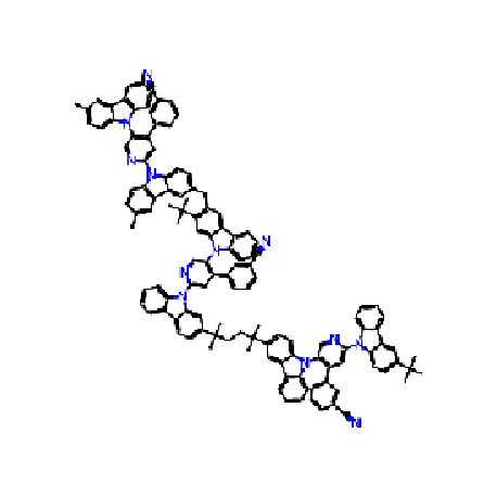 Cc1ccc2c(c1)c1cc(Cc3cc4c5ccccc5n(-c5cnc(-n6c7ccccc7c7ccc(C(C)(C)CCC(C)(C)c8ccc9c(c8)c8ccccc8n9-c8cnc(-n9c%10ccccc%10c%10cc(C(C)(C)C)ccc%109)cc8-c8cccc(C#N)c8)cc76)cc5-c5cccc(C#N)c5)c4cc3C(C)(C)C)ccc1n2-c1cc(-c2cccc(C#N)c2)c(-n2c3ccc(C)cc3c3cc(C)ccc32)cn1